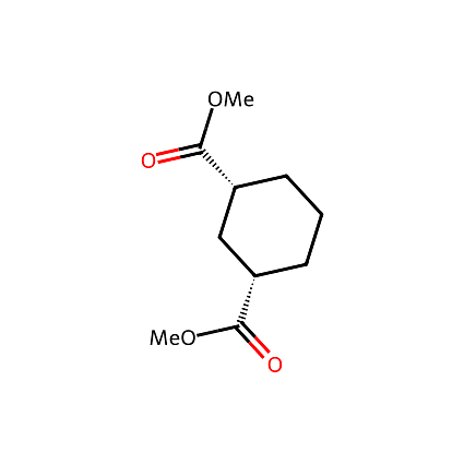 COC(=O)[C@@H]1CCC[C@H](C(=O)OC)C1